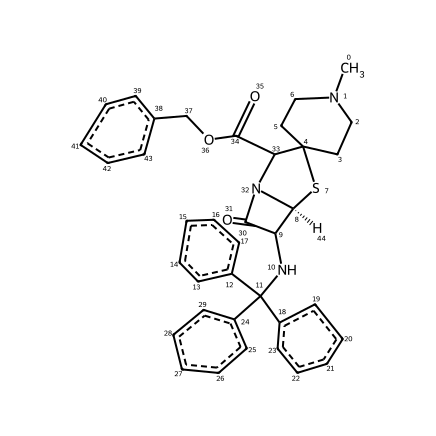 CN1CCC2(CC1)S[C@H]1C(NC(c3ccccc3)(c3ccccc3)c3ccccc3)C(=O)N1C2C(=O)OCc1ccccc1